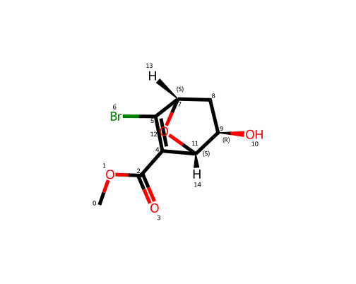 COC(=O)C1=C(Br)[C@@H]2C[C@@H](O)[C@H]1O2